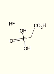 F.O=C(O)CP(=O)(O)O